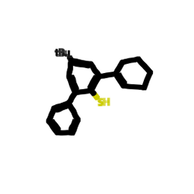 CC(C)(C)c1cc(C2=CCCCC2)c(S)c(-c2ccccc2)c1